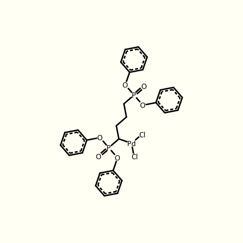 O=P(CCC[CH]([Pd]([Cl])[Cl])P(=O)(Oc1ccccc1)Oc1ccccc1)(Oc1ccccc1)Oc1ccccc1